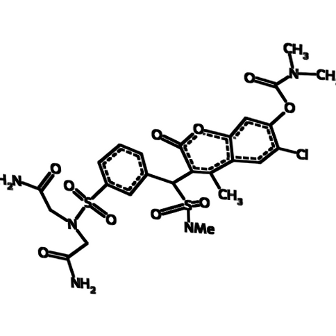 CNS(=O)(=O)C(c1cccc(S(=O)(=O)N(CC(N)=O)CC(N)=O)c1)c1c(C)c2cc(Cl)c(OC(=O)N(C)C)cc2oc1=O